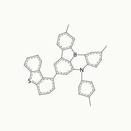 Cc1ccc(N2c3ccc(C)cc3B3c4cc(C)ccc4-c4cc(-c5cccc6sc7ccccc7c56)cc2c43)cc1